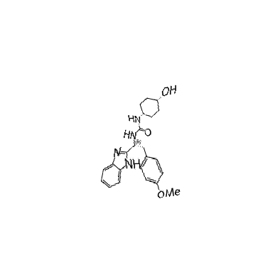 COc1ccc(C[C@@H](NC(=O)N[C@H]2CC[C@@H](O)CC2)c2nc3ccccc3[nH]2)cc1